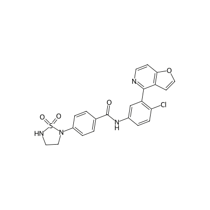 O=C(Nc1ccc(Cl)c(-c2nccc3occc23)c1)c1ccc(N2CCNS2(=O)=O)cc1